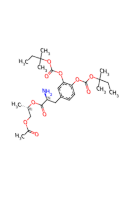 CCC(C)(C)OC(=O)Oc1ccc(C[C@H](N)C(=O)O[C@@H](C)COC(C)=O)cc1OC(=O)OC(C)(C)CC